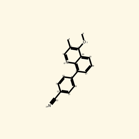 COc1c(C)cnc2c(-c3ccc(C#N)cc3)cccc12